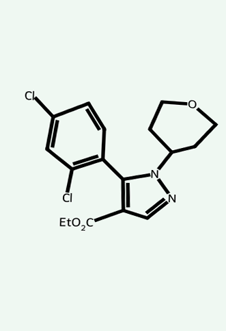 CCOC(=O)c1cnn(C2CCOCC2)c1-c1ccc(Cl)cc1Cl